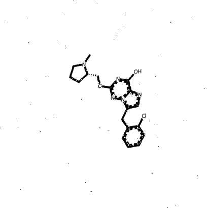 CN1CCC[C@H]1COc1nc(O)c2ncc(Cc3ccccc3Cl)n2n1